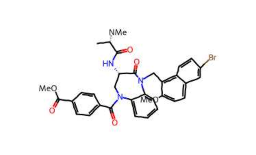 CN[C@@H](C)C(=O)N[C@H]1CN(C(=O)c2ccc(C(=O)OC)cc2)c2ccccc2N(Cc2c(OC)ccc3cc(Br)ccc23)C1=O